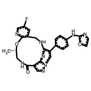 C[C@H]1CNC(=O)c2cnn3cc(-c4ccc(Nc5ncco5)cc4)c(nc23)NCc2cc(F)cnc2O1